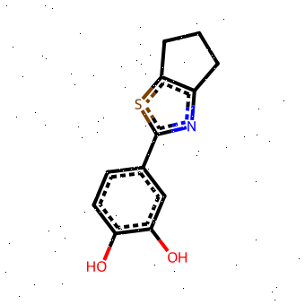 Oc1ccc(-c2nc3c(s2)CCC3)cc1O